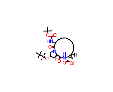 CC(C)(C)OC(=O)N[C@H]1CCCCCCC[C@@H]2C[C@@]2(C(=O)O)NC(=O)[C@@H]2C[C@@H](O[Si](C)(C)C(C)(C)C)CN2C1=O